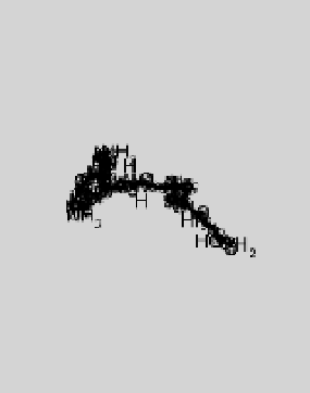 Nc1ncnc2c1ncn2[C@@H]1O[C@@H]2CO[P@](=O)(SCc3ccc(NC(=O)CNC(=O)CCCCCn4nnc5c4-c4ccccc4N(C(=O)CCCCC(=O)NCCCOCC(O)CO[PH2]=O)Cc4ccccc4-5)cc3)O[C@H]3[C@@H](F)[C@H](n4cnc5c(N)ncnc54)O[C@@H]3CO[PH](=O)O[C@H]2[C@H]1F